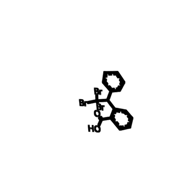 O=C(O)c1ccccc1C(c1ccccc1)C(Br)(Br)Br